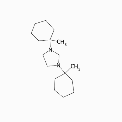 CC1(N2CCN(C3(C)CCCCC3)C2)CCCCC1